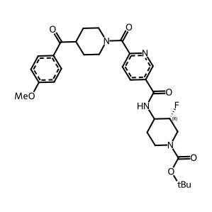 COc1ccc(C(=O)C2CCN(C(=O)c3ccc(C(=O)NC4CCN(C(=O)OC(C)(C)C)C[C@H]4F)cn3)CC2)cc1